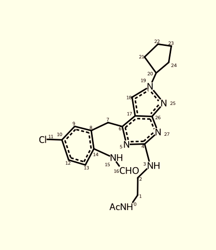 CC(=O)NCCNc1nc(Cc2cc(Cl)ccc2NC=O)c2cn(C3CCCC3)nc2n1